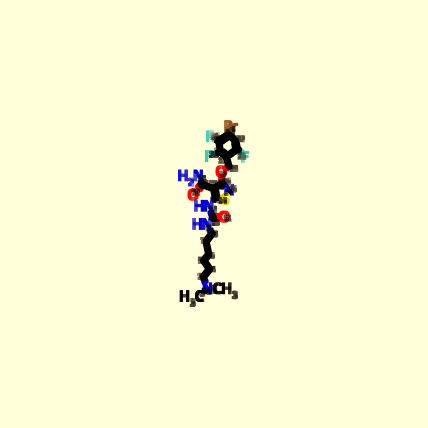 CN(C)CCCCCCNC(=O)Nc1snc(OCc2c(F)cc(Br)c(F)c2F)c1C(N)=O